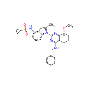 CO[C@H]1CCCc2c(NCc3ccccc3)nc(-n3c(C)cc4c(NS(=O)(=O)C5CC5)cccc43)nc21